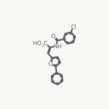 O=C(O)/C(=C/c1ccc(-c2ccccc2)o1)NC(=O)c1cccc(Cl)c1